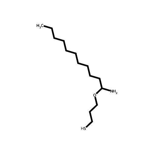 CCCCCCCCCCC(N)OCCCS